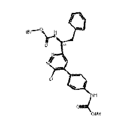 COC(=O)Nc1ccc(-c2cc([C@H](Cc3ccccc3)NC(=O)OC(C)(C)C)nnc2Cl)cc1